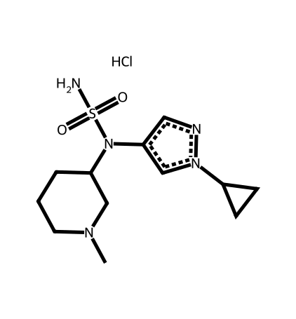 CN1CCCC(N(c2cnn(C3CC3)c2)S(N)(=O)=O)C1.Cl